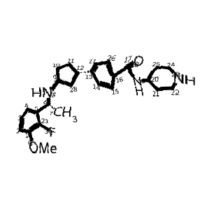 COc1cccc([C@@H](C)NC2CC[C@H](c3ccc(C(=O)NC4CCNCC4)cc3)C2)c1F